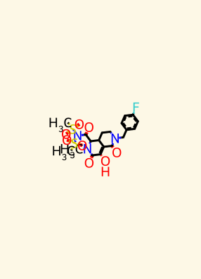 CN1C(=O)C(O)=C2C(=O)N(Cc3ccc(F)cc3)CCC2C1C(=O)N(S(C)(=O)=O)S(C)(=O)=O